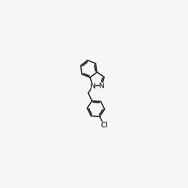 Clc1ccc(Cn2ncc3ccccc32)cc1